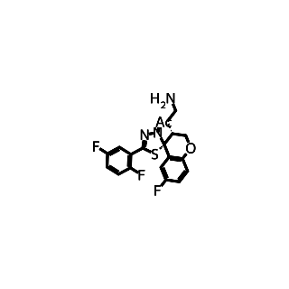 CC(=O)N1N=C(c2cc(F)ccc2F)S[C@]12c1cc(F)ccc1OC[C@H]2CCN